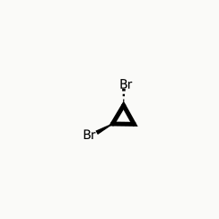 Br[C@@H]1C[C@H]1Br